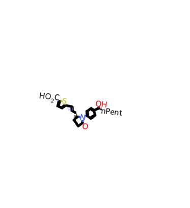 CCCCC[C@H](O)c1ccc(N2C(=O)CC[C@@H]2C/C=C/c2ccc(C(=O)O)s2)cc1